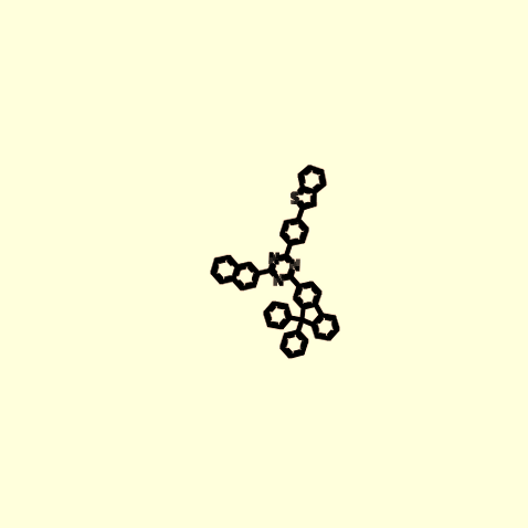 c1ccc(C2(c3ccccc3)c3ccccc3-c3ccc(-c4nc(-c5ccc(-c6cc7ccccc7s6)cc5)nc(-c5ccc6ccccc6c5)n4)cc32)cc1